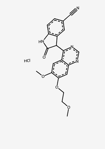 COCCOc1cc2ncnc(C3C(=O)Nc4ccc(C#N)cc43)c2cc1OC.Cl